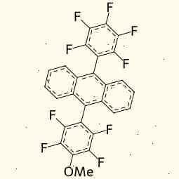 COc1c(F)c(F)c(-c2c3ccccc3c(-c3c(F)c(F)c(F)c(F)c3F)c3ccccc23)c(F)c1F